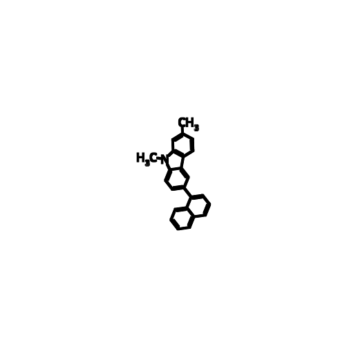 Cc1ccc2c3cc(-c4cccc5ccccc45)ccc3n(C)c2c1